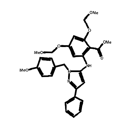 COCOc1cc(Nc2cc(-c3ccccc3)nn2Cc2ccc(OC)cc2)c(C(=O)OC)c(OCOC)c1